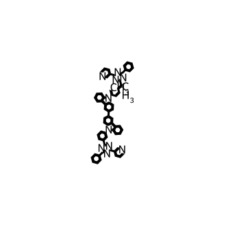 C\C=C(/C=C\C=C(/C)c1nc(-c2ccccc2)nc(-c2cccnc2)n1)n1c2ccccc2c2cc(-c3ccc4c(c3)c3ccccc3n4-c3cccc(-c4nc(-c5ccccc5)nc(-c5cccnc5)n4)c3)ccc21